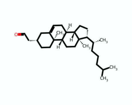 CC(C)CCC[C@@H](C)[C@H]1CC[C@H]2[C@@H]3CC=C4C[C@@H](CC=O)CC[C@]4(C)[C@H]3CC[C@]12C